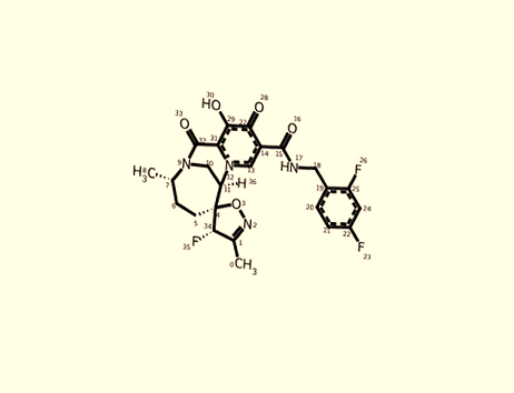 CC1=NO[C@@]2(CC[C@H](C)N3C[C@H]2n2cc(C(=O)NCc4ccc(F)cc4F)c(=O)c(O)c2C3=O)[C@H]1F